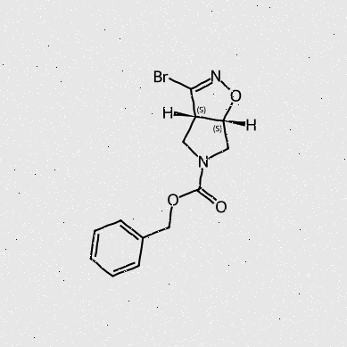 O=C(OCc1ccccc1)N1C[C@@H]2C(Br)=NO[C@@H]2C1